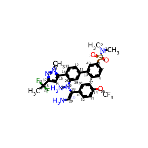 CN(C)S(=O)(=O)c1cccc(-c2ccc(-c3cc(C(C)(F)F)nn3C)c(N(N)/C(=C\N)c3ccc(OC(F)(F)F)cc3)c2)c1